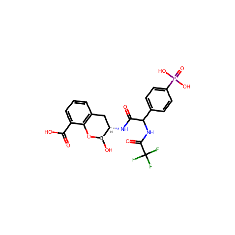 O=C(O)c1cccc2c1OB(O)[C@@H](NC(=O)C(NC(=O)C(F)(F)F)c1ccc(P(=O)(O)O)cc1)C2